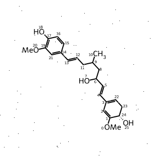 COC1=CC(/C=C/C(O)CC(C)C/C=C/c2ccc(O)c(OC)c2)=CC[C@@H]1O